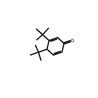 CC(C)(C)C1=CC(=O)C=CC1C(C)(C)C